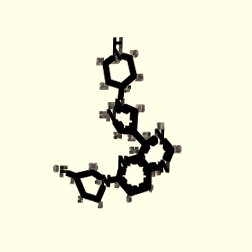 FC1CCN(c2ccc3ncnc(-c4cnn(C5CCNCC5)c4)c3n2)C1